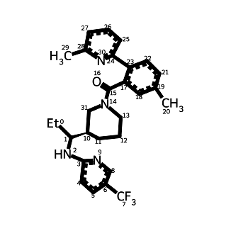 CCC(Nc1ccc(C(F)(F)F)cn1)[C@@H]1CCCN(C(=O)c2cc(C)ccc2-c2cccc(C)n2)C1